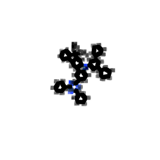 CC1(C)c2ccccc2-c2cc3c4cc(-c5nc(-c6ccccc6)nc(-c6ccccc6)n5)ccc4n(-c4cc(-c5ccccc5)cc(-c5ccccc5)c4)c3cc21